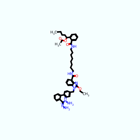 CCCCC(OC(C)=O)c1ccccc1C(=O)NCCCCCCCCNC(=O)c1cccc2c1nc(OCC)n2Cc1ccc(-c2ccccc2/C(=N/N)NN)cc1